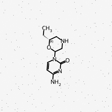 CC[C@@H]1CNCC(n2ccc(N)nc2=O)O1